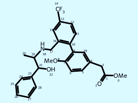 COC(=O)Cc1ccc(OC)c(-c2ccc(C(F)(F)F)cc2CNC(C)C(O)c2ccccc2)c1